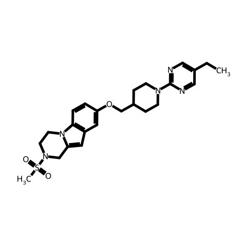 CCc1cnc(N2CCC(COc3ccc4c(c3)cc3n4CCN(S(C)(=O)=O)C3)CC2)nc1